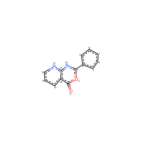 O=c1oc(-c2ccccc2)nc2ncccc12